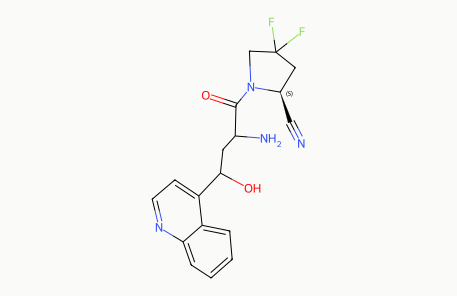 N#C[C@@H]1CC(F)(F)CN1C(=O)C(N)CC(O)c1ccnc2ccccc12